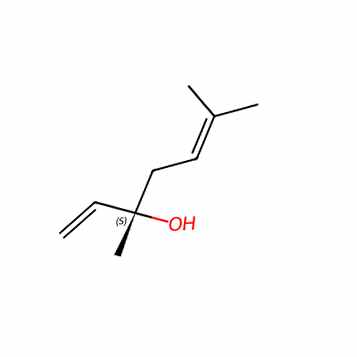 C=C[C@@](C)(O)CC=C(C)C